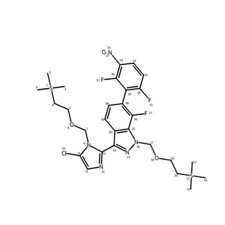 CS(C)(C)CCOCn1c(Cl)cnc1-c1nn(COCCS(C)(C)C)c2c(F)c(-c3c(F)ccc([N+](=O)[O-])c3F)ccc12